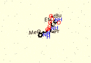 CC[C@@H](OCC(=O)[C@H](C[C@@H]1CCNC1=O)NC(=O)[C@H](CC(C)C)NC(=O)c1cc2c(OC)cccc2[nH]1)OC(=O)C(C)(C)C